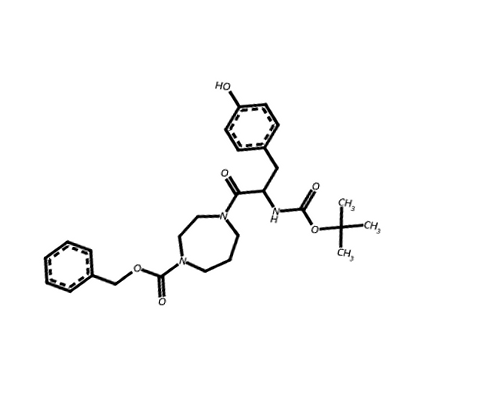 CC(C)(C)OC(=O)NC(Cc1ccc(O)cc1)C(=O)N1CCCN(C(=O)OCc2ccccc2)CC1